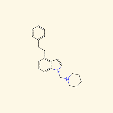 c1ccc(CCc2cccc3c2ccn3CN2CCCCC2)cc1